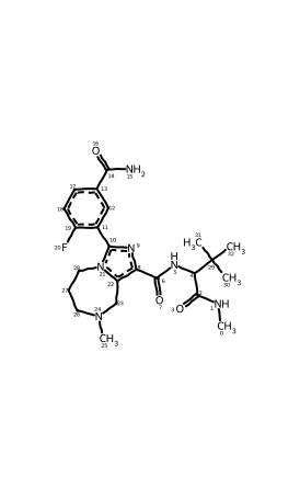 CNC(=O)C(NC(=O)c1nc(-c2cc(C(N)=O)ccc2F)n2c1CN(C)CCC2)C(C)(C)C